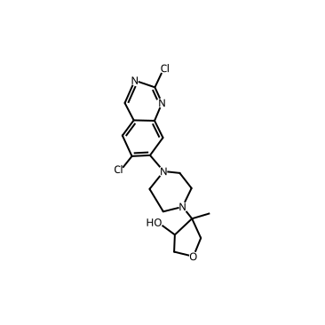 CC1(N2CCN(c3cc4nc(Cl)ncc4cc3Cl)CC2)COCC1O